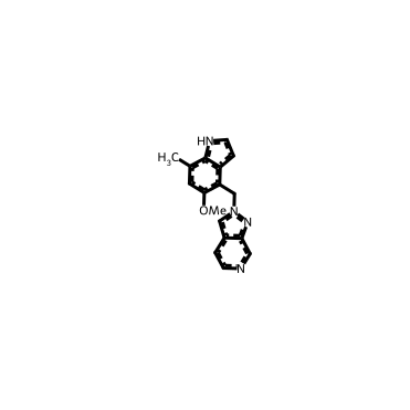 COc1cc(C)c2[nH]ccc2c1Cn1cc2ccncc2n1